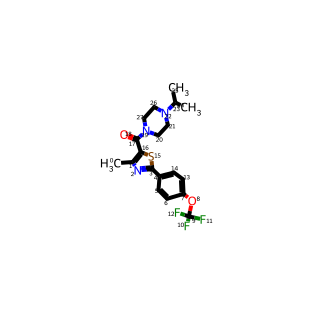 Cc1nc(-c2ccc(OC(F)(F)F)cc2)sc1C(=O)N1CCN(C(C)C)CC1